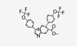 COC(=O)c1cc2ncc(-c3ccc(OC(F)(F)F)cc3)n2cc1-c1ccc(OC(F)(F)F)cc1